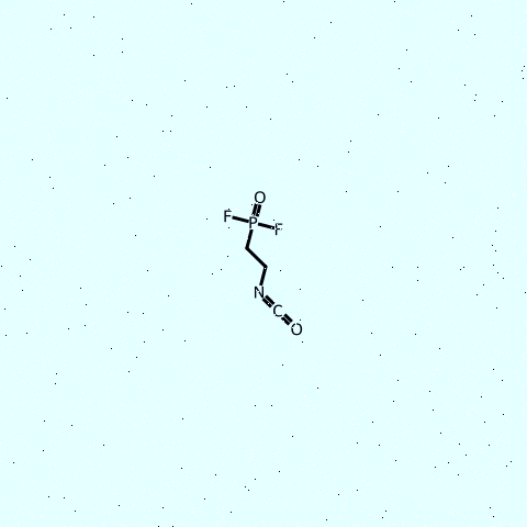 O=C=NCCP(=O)(F)F